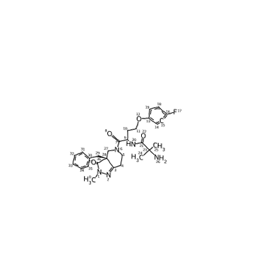 CN1N=C2CCN(C(=O)C(CCOc3ccc(F)cc3)NC(=O)C(C)(C)N)C[C@@]2(Cc2ccccc2)C1=O